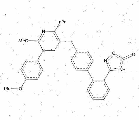 CCCC1=C(Cc2ccc(-c3ccccc3-c3noc(=O)[nH]3)cc2)CN(c2ccc(OC(C)(C)C)cc2)C(OC)=N1